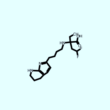 CCC(CC(F)F)(NCCCCc1ccc2c(n1)NCCC2)C(=O)O